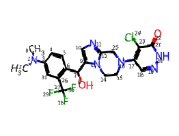 CN(C)c1ccc(C(O)c2cnc3n2CCN(c2cn[nH]c(=O)c2Cl)C3)c(C(F)(F)F)c1